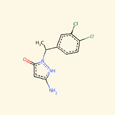 CC(c1ccc(Cl)c(Cl)c1)n1[nH]c(N)cc1=O